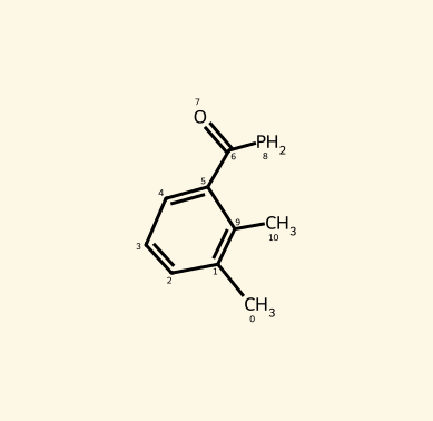 Cc1cccc(C(=O)P)c1C